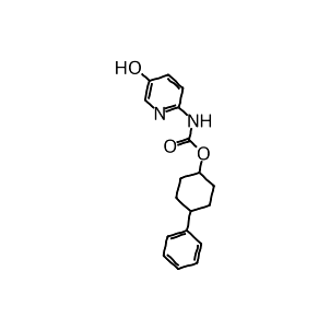 O=C(Nc1ccc(O)cn1)OC1CCC(c2ccccc2)CC1